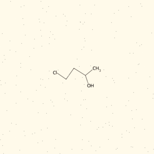 CC(O)CCCl